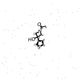 CC(=O)N1CC(O)(c2ccsc2)C1